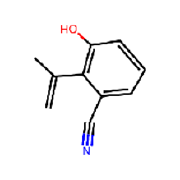 C=C(C)c1c(O)cccc1C#N